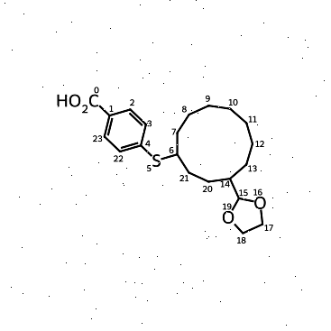 O=C(O)c1ccc(SC2CCCCCCCC(C3OCCO3)CC2)cc1